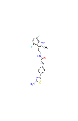 Cc1[nH]c2c(F)ccc(F)c2c1CCNC(=O)/C=C/c1ccc(-c2csc(N)n2)cc1